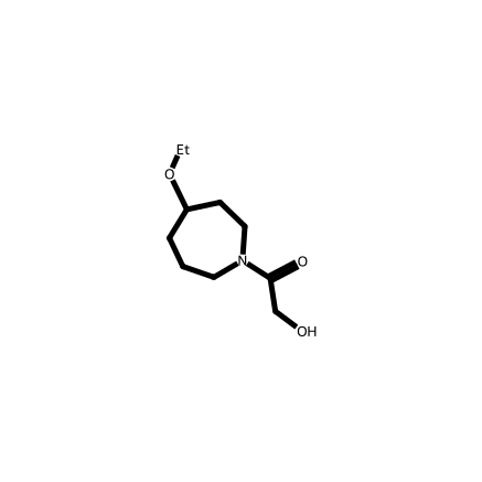 CCOC1CCCN(C(=O)CO)CC1